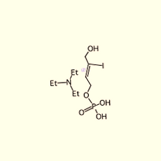 CCN(CC)CC.O=P(O)(O)OC/C=C(\I)CO